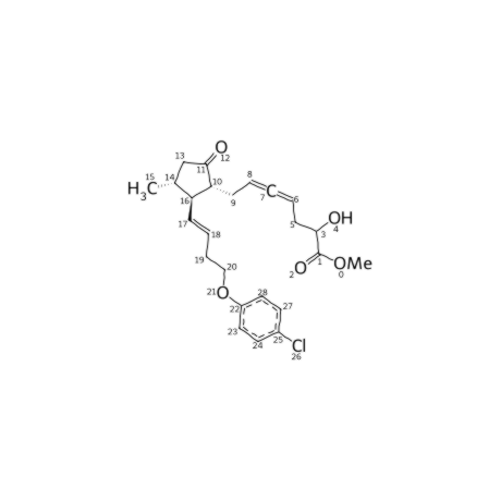 COC(=O)C(O)CC=C=CC[C@H]1C(=O)C[C@@H](C)[C@@H]1/C=C/CCOc1ccc(Cl)cc1